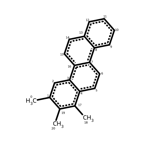 Cc1cc2c(ccc3c4ccccc4ccc23)c(C)c1C